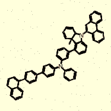 CC12C=CC=CC1N(c1cc3ccccc3c3ccccc13)c1cccc(-c3cccc(N(c4ccccc4)c4ccc(-c5ccc(-c6cccc7ccccc67)cc5)cc4)c3)c12